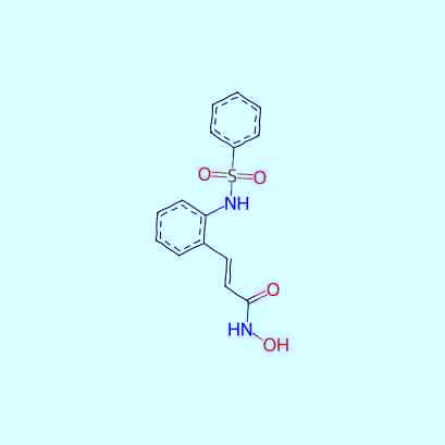 O=C(C=Cc1ccccc1NS(=O)(=O)c1ccccc1)NO